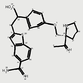 CC(=N)[C@]1(COc2ccc(C(Cc3cc4cc(C(=N)N)ccc4s3)C(=O)O)cc2)CCCN1